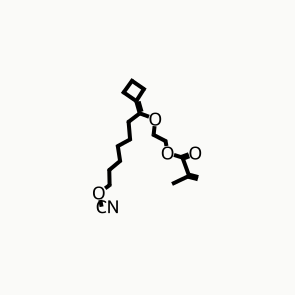 C=C(C)C(=O)OCCOC(CCCCCCOC#N)=C1CCC1